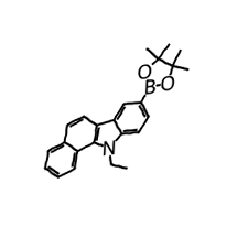 CCn1c2ccc(B3OC(C)(C)C(C)(C)O3)cc2c2ccc3ccccc3c21